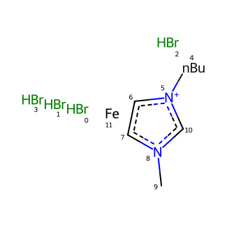 Br.Br.Br.Br.CCCC[n+]1ccn(C)c1.[Fe]